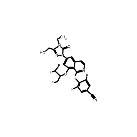 CCn1c(CO)nn(-c2cc(OC(CF)C(F)F)c3c(Oc4c(F)cc(C#N)cc4F)nccc3c2)c1=O